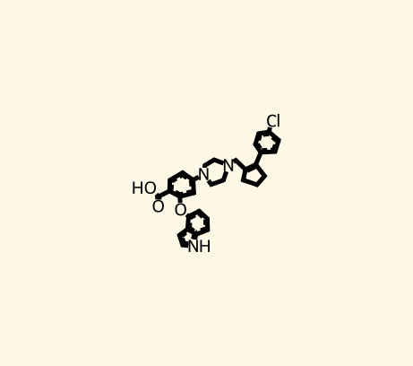 O=C(O)c1ccc(N2CCN(CC3=C(c4ccc(Cl)cc4)CCC3)CC2)cc1Oc1cccc2[nH]ccc12